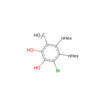 CCCCCCc1c(Br)c(O)c(O)c(C(=O)O)c1CCCCCC